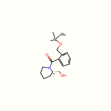 CC(C)(C)[Si](C)(C)OCc1ccccc1C(=O)N1CCCC[C@H]1CO